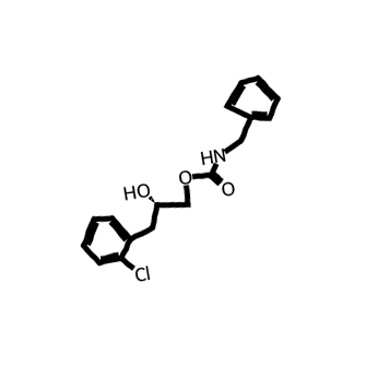 O=C(NCc1ccccc1)OC[C@@H](O)Cc1ccccc1Cl